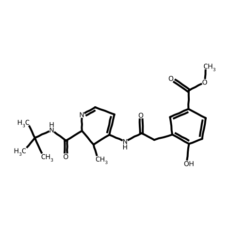 COC(=O)c1ccc(O)c(CC(=O)NC2=CC=NC(C(=O)NC(C)(C)C)C2C)c1